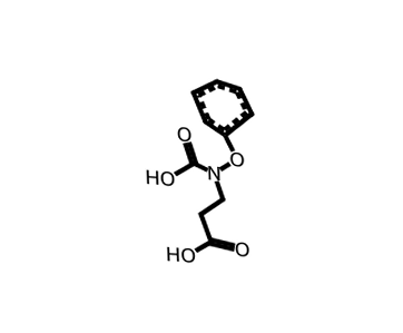 O=C(O)CCN(Oc1ccccc1)C(=O)O